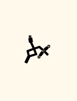 C=C1CC(C#N)(CS(C)(=O)=O)C1